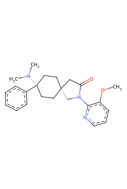 COc1cccnc1N1C[C@]2(CC[C@@](c3ccccc3)(N(C)C)CC2)CC1=O